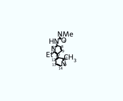 CCc1nc(NC(=O)NC)ccc1-c1cccnc1C